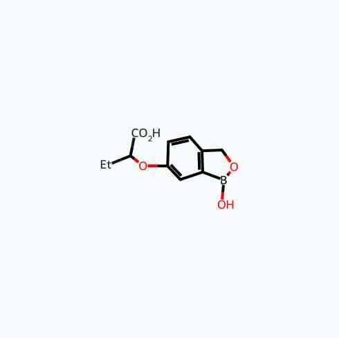 CCC(Oc1ccc2c(c1)B(O)OC2)C(=O)O